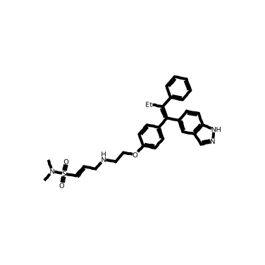 CCC(=C(c1ccc(OCCNCC=CS(=O)(=O)N(C)C)cc1)c1ccc2[nH]ncc2c1)c1ccccc1